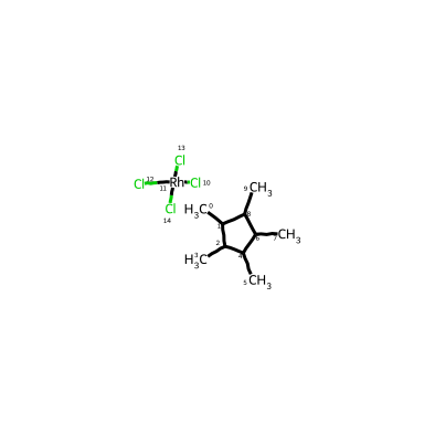 CC1C(C)C(C)C(C)C1C.[Cl][Rh]([Cl])([Cl])[Cl]